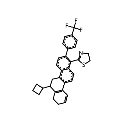 FC(F)(F)c1ccc(-c2ccc3c4c(ccc3c2C2=NCCS2)C2=C(CCC=C2)C(C2CCC2)C4)cc1